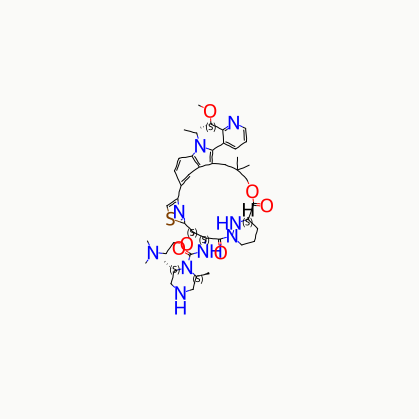 CCn1c(-c2cccnc2[C@H](C)OC)c2c3cc(ccc31)-c1csc(n1)[C@@H](OCCN(C)C)[C@H](NC(=O)N1[C@@H](C)CNC[C@@H]1C)C(=O)N1CCC[C@H](N1)C(=O)OCC(C)(C)C2